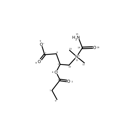 CCC(=O)OC(CC(=O)[O-])C[N+](C)(C)C(N)=O